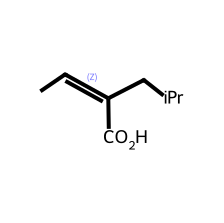 C/C=C(/CC(C)C)C(=O)O